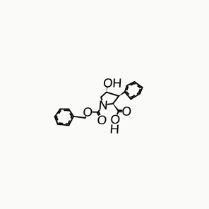 O=C(O)[C@@H]1[C@H](c2ccccc2)[C@@H](O)CN1C(=O)OCc1ccccc1